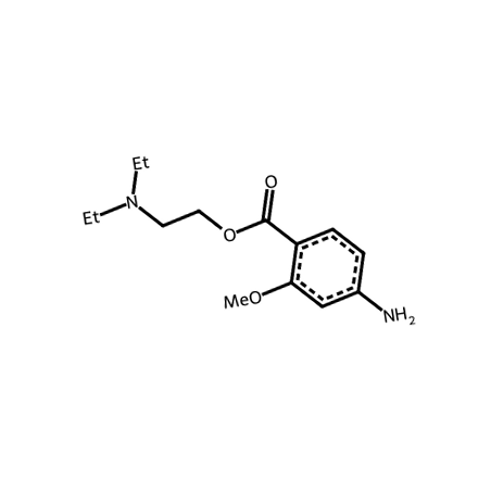 CCN(CC)CCOC(=O)c1ccc(N)cc1OC